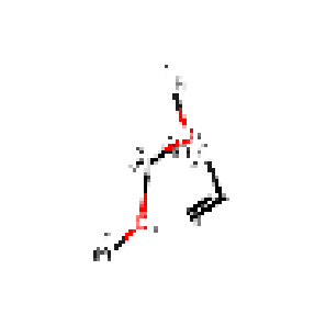 C=CC(=O)O.CC(C)[O][Al][O]C(C)C